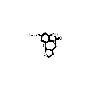 O=C1OCCC1Cn1c(=O)[nH]c2cc(S(=O)(=O)O)ccc21